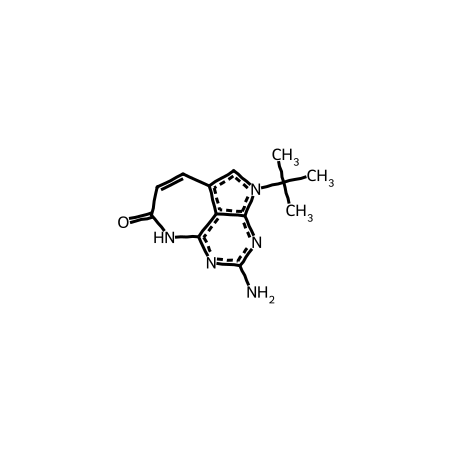 CC(C)(C)n1cc2c3c(nc(N)nc31)NC(=O)C=C2